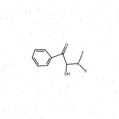 O=C(c1ccccc1)C(O)B(F)F